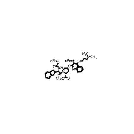 CCCCCc1c(O[C@@H]2C[C@@H](C(=O)OC)N(C(=O)[C@@H](NC(=O)OCCC)C3Cc4ccccc4C3)C2)nc2ccccc2c1OCCCN(C)C